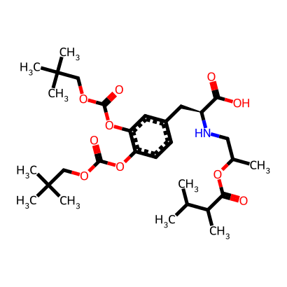 CC(CN[C@@H](Cc1ccc(OC(=O)OCC(C)(C)C)c(OC(=O)OCC(C)(C)C)c1)C(=O)O)OC(=O)C(C)C(C)C